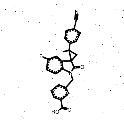 CC1(c2ccc(C#N)cc2)CC12C(=O)N(Cc1cccc(C(=O)O)c1)c1ccc(F)cc12